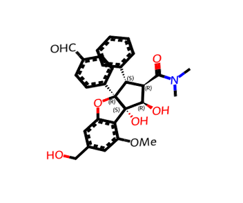 COc1cc(CO)cc2c1[C@]1(O)[C@H](O)[C@H](C(=O)N(C)C)[C@@H](c3ccccc3)[C@]1(c1ccc(C=O)cc1)O2